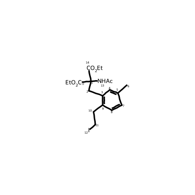 CCOC(=O)C(Cc1cc(C)ccc1CCI)(NC(C)=O)C(=O)OCC